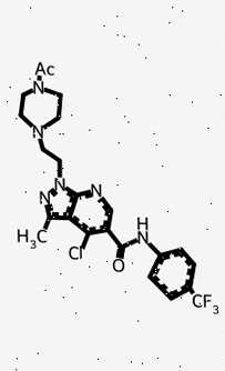 CC(=O)N1CCN(CCn2nc(C)c3c(Cl)c(C(=O)Nc4ccc(C(F)(F)F)cc4)cnc32)CC1